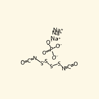 O=C=NSSSSN=C=O.O=P([O-])([O-])[O-].[Na+].[Na+].[Na+]